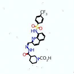 O=C(N/N=C\c1ccc2cccc(NS(=O)(=O)c3ccc(C(F)(F)F)cc3)c2n1)C1CCCN(C(=O)O)C1